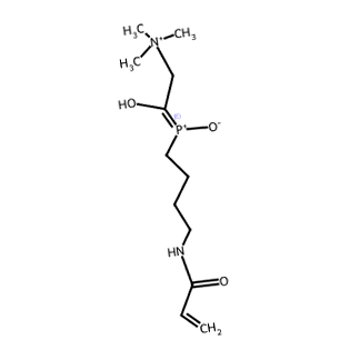 C=CC(=O)NCCCC/[P+]([O-])=C(\O)C[N+](C)(C)C